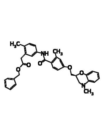 Cc1ccc(NC(=O)c2ccc(OC[C@@H]3CN(C)c4ccccc4O3)cc2C)cc1CC(=O)OCc1ccccc1